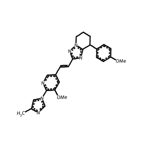 COc1ccc(C2CCCn3nc(C=Cc4cnc(-n5cnc(C)c5)c(OC)c4)nc32)cc1